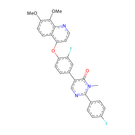 COc1ccc2c(Oc3ccc(-c4cnc(-c5ccc(F)cc5)n(C)c4=O)cc3F)ccnc2c1OC